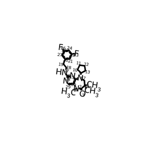 CN1C(=O)C(C)(C)CN(C2CCCC2)c2nc(NCCc3cc(F)cc(F)c3)ncc21